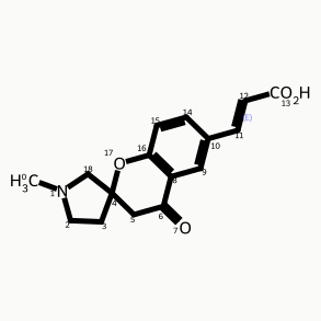 CN1CCC2(CC(=O)c3cc(/C=C/C(=O)O)ccc3O2)C1